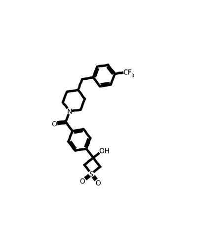 O=C(c1ccc(C2(O)CS(=O)(=O)C2)cc1)N1CCC(Cc2ccc(C(F)(F)F)cc2)CC1